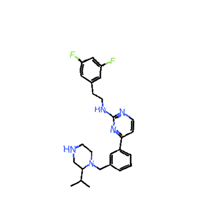 CC(C)C1CNCCN1Cc1cccc(-c2ccnc(NCCc3cc(F)cc(F)c3)n2)c1